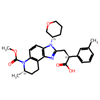 COC(=O)N1c2ccc3c(nc(C[C@H](C(=O)O)c4cccc(C)c4)n3[C@H]3CCCOC3)c2CC[C@@H]1C